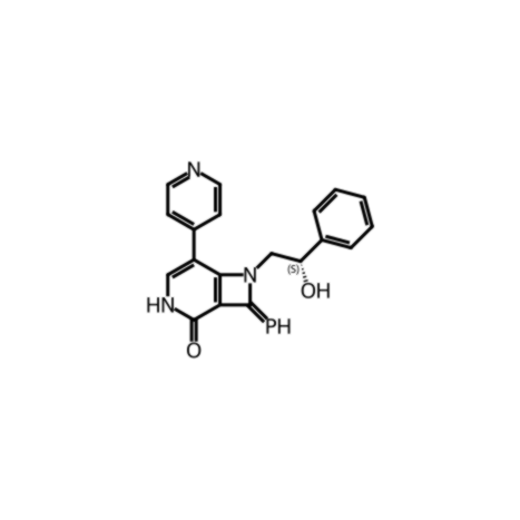 O=c1[nH]cc(-c2ccncc2)c2c1C(=P)N2C[C@@H](O)c1ccccc1